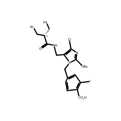 CCCCc1nc(Cl)c(CNC(=O)[C@@H](CS)CC(C)C)n1Cc1ccc(C(=O)O)c(F)c1